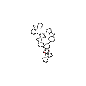 c1ccc2c(c1)oc1ccc(-c3ccc4oc5c(-c6cccc7oc8ccccc8c67)nc(-c6cccc7oc8ccc(-c9ccc%10oc%11ccccc%11c%10c9)cc8c67)nc5c4c3)cc12